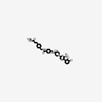 CC1(NCc2ccc(C(=O)NCc3ccc(/C=C/C(=O)NO)cc3)cc2)CCN(c2cnc(-c3cccc(Cl)c3Cl)c(N)n2)CC1